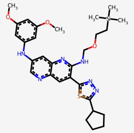 COc1cc(Nc2cnc3cc(-c4nnc(C5CCCC5)s4)c(NCOCC[Si](C)(C)C)nc3c2)cc(OC)c1